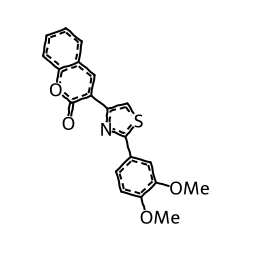 COc1ccc(-c2nc(-c3cc4ccccc4oc3=O)cs2)cc1OC